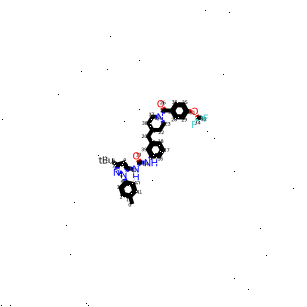 Cc1ccc(-n2nc(C(C)(C)C)cc2NC(=O)Nc2cccc(CC3CCN(C(=O)c4ccc(OC(F)F)cc4)CC3)c2)cc1